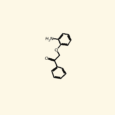 Nc1ccccc1OCC(=O)c1ccccc1